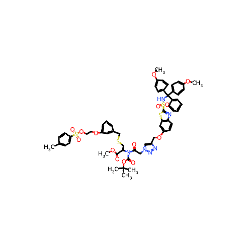 COC(=O)C(CSCc1cccc(OCCOS(=O)(=O)c2ccc(C)cc2)c1)N(C(=O)Cn1cc(COc2ccc3nc(S(=O)(=O)NC(c4ccccc4)(c4ccc(OC)cc4)c4ccc(OC)cc4)sc3c2)nn1)C(=O)OC(C)(C)C